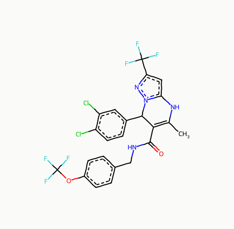 CC1=C(C(=O)NCc2ccc(OC(F)(F)F)cc2)C(c2ccc(Cl)c(Cl)c2)n2nc(C(F)(F)F)cc2N1